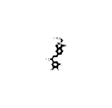 O=C(O)Cn1ncc2cc(C=CC(c3cc(Cl)c(F)c(Cl)c3)C(F)(F)F)ccc2c1=O